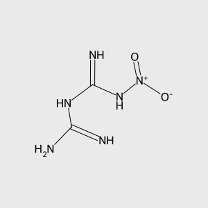 N=C(N)NC(=N)N[N+](=O)[O-]